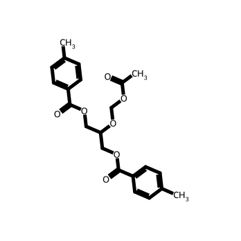 CC(=O)OCOC(COC(=O)c1ccc(C)cc1)COC(=O)c1ccc(C)cc1